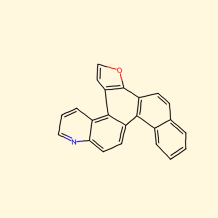 c1ccc2c(c1)ccc1c3occc3c3c4cccnc4ccc3c21